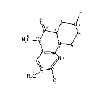 Cc1cc2c(nc1Cl)N1CCN(I)CC1C(=O)N2C